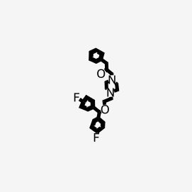 O=C(Cc1ccccc1)CN1CCN(CCOC(c2ccc(F)cc2)c2ccc(F)cc2)CC1